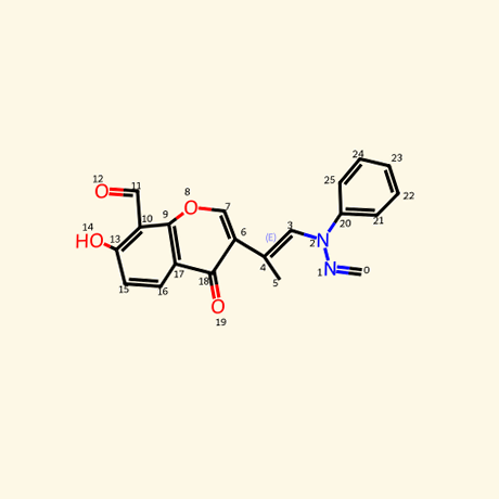 C=NN(/C=C(\C)c1coc2c(C=O)c(O)ccc2c1=O)c1ccccc1